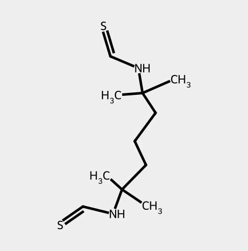 CC(C)(CCCC(C)(C)NC=S)NC=S